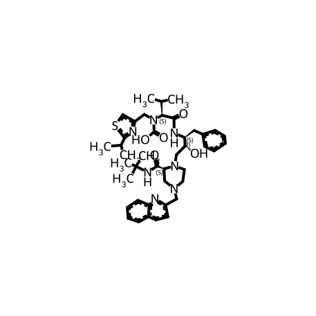 CC(C)c1nc(CN(C(=O)O)[C@H](C(=O)N[C@@H](Cc2ccccc2)[C@H](O)CN2CCN(Cc3ccc4ccccc4n3)C[C@H]2C(=O)NC(C)(C)C)C(C)C)cs1